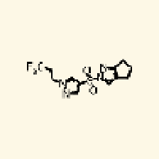 O=S(=O)(c1cnn(CCC(F)(F)F)c1)n1cc2c(n1)CCC2